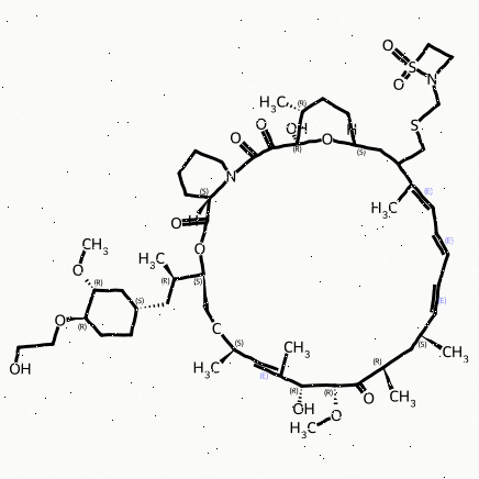 CO[C@@H]1C[C@H](C[C@@H](C)[C@@H]2CC[C@H](C)/C=C(\C)[C@@H](O)[C@@H](OC)C(=O)[C@H](C)C[C@H](C)/C=C/C=C/C=C(\C)C(CSCN3CCS3(=O)=O)C[C@@H]3CC[C@@H](C)[C@@](O)(O3)C(=O)C(=O)N3CCCC[C@H]3C(=O)O2)CC[C@H]1OCCO